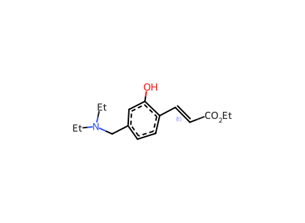 CCOC(=O)/C=C/c1ccc(CN(CC)CC)cc1O